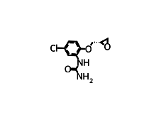 NC(=O)Nc1cc(Cl)ccc1OC[C@@H]1CO1